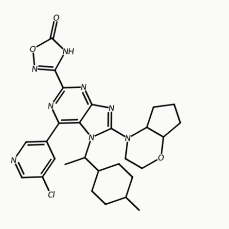 CC1CCC(C(C)n2c(N3CCOC4CCCC43)nc3nc(-c4noc(=O)[nH]4)nc(-c4cncc(Cl)c4)c32)CC1